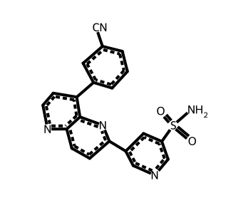 N#Cc1cccc(-c2ccnc3ccc(-c4cncc(S(N)(=O)=O)c4)nc23)c1